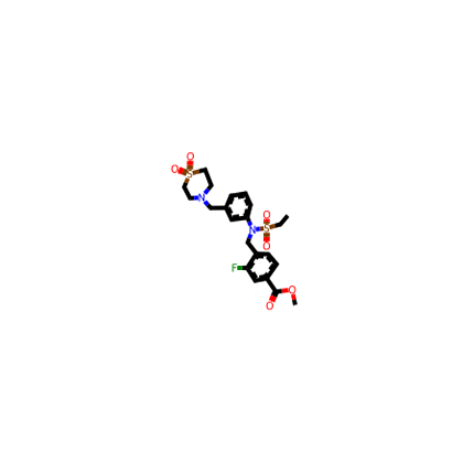 CCS(=O)(=O)N(Cc1ccc(C(=O)OC)cc1F)c1cccc(CN2CCS(=O)(=O)CC2)c1